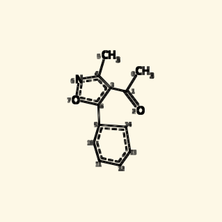 CC(=O)c1c(C)noc1-c1ccccc1